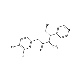 CN(C(=O)Cc1ccc(Cl)c(Cl)c1)C(CBr)c1ccncc1